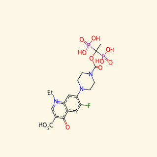 CCn1cc(C(=O)O)c(=O)c2cc(F)c(N3CCN(C(=O)OC(C)(P(=O)(O)O)P(=O)(O)O)CC3)cc21